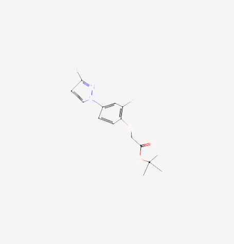 CC(C)(C)OC(=O)COc1ccc(-n2ccc(I)n2)cc1F